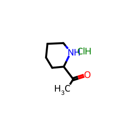 CC(=O)C1CCCCN1.Cl